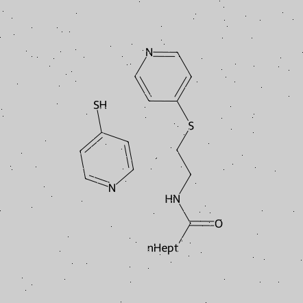 CCCCCCCC(=O)NCCSc1ccncc1.Sc1ccncc1